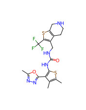 Cc1nnc(-c2c(NC(=O)NCc3c(C(F)(F)F)sc4c3CCNC4)sc(C)c2C)o1